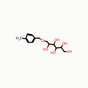 Cc1ccc(COCC(O)C(O)C(O)C(O)CO)cc1